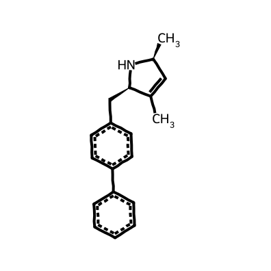 CC1=C[C@H](C)N[C@@H]1Cc1ccc(-c2ccccc2)cc1